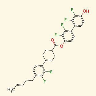 C/C=C/CCc1ccc(C2=CCC(C(=O)Oc3ccc(-c4ccc(O)c(F)c4F)c(F)c3F)CC2)c(F)c1F